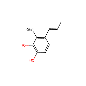 C/C=C/c1ccc(O)c(O)c1C=O